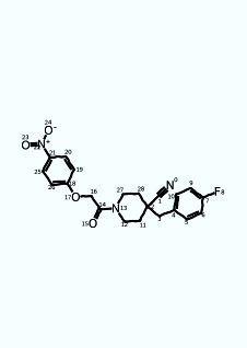 N#CC1(Cc2ccc(F)cc2)CCN(C(=O)COc2ccc([N+](=O)[O-])cc2)CC1